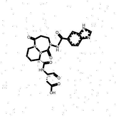 O=C[C@H](CC(=O)O)NC(=O)[C@@H]1CCCN2C(=O)CCN(NC(=O)c3ccc4nc[nH]c4c3)C(=O)N12